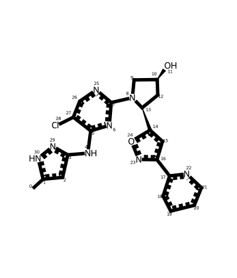 Cc1cc(Nc2nc(N3C[C@@H](O)C[C@H]3c3cc(-c4ccccn4)no3)ncc2Cl)n[nH]1